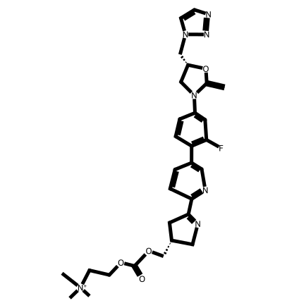 C=C1O[C@@H](Cn2ccnn2)CN1c1ccc(-c2ccc(C3=NC[C@H](COC(=O)OCC[N+](C)(C)C)C3)nc2)c(F)c1